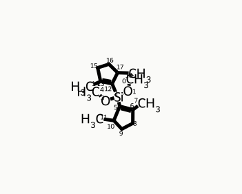 CO[Si](OC)(C1=C(C)CCC1C)C1=C(C)CCC1C